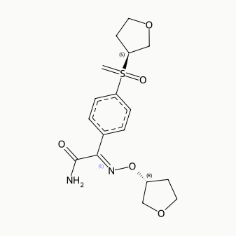 C=S(=O)(c1ccc(/C(=N\O[C@@H]2CCOC2)C(N)=O)cc1)[C@H]1CCOC1